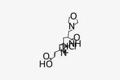 Cl.O=C(O)/C=C/c1cc2c(cn1)NC(=O)C(CCN1CCOCC1)C2